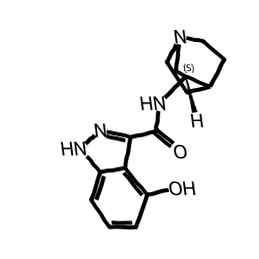 O=C(N[C@@H]1CN2CCC1CC2)c1n[nH]c2cccc(O)c12